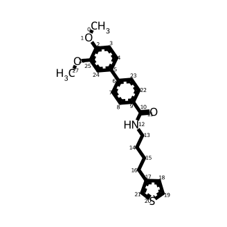 COc1ccc(-c2ccc(C(=O)NCCCCc3ccsc3)cc2)cc1OC